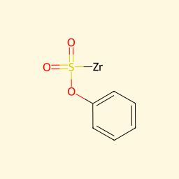 O=[S](=O)([Zr])Oc1ccccc1